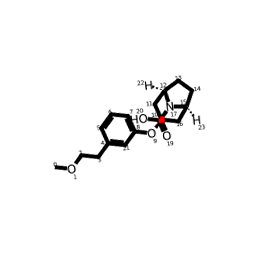 COCCc1cccc(O[C@H]2C[C@H]3CC[C@@H](C2)N3C(=O)O)c1